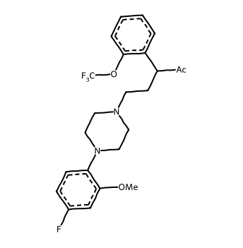 COc1cc(F)ccc1N1CCN(CCC(C(C)=O)c2ccccc2OC(F)(F)F)CC1